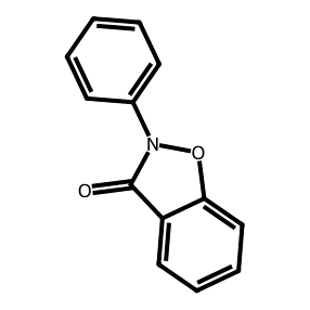 O=c1c2ccccc2on1-c1ccccc1